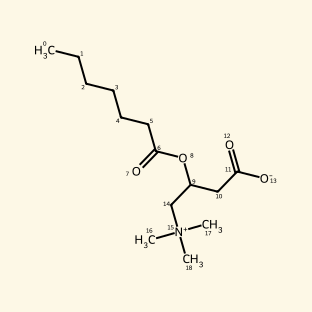 CCCCCCC(=O)OC(CC(=O)[O-])C[N+](C)(C)C